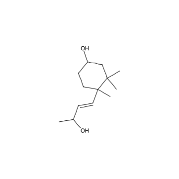 CC(O)/C=C/C1(C)CCC(O)CC1(C)C